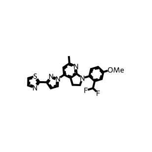 COc1ccc(N2CCc3c(-n4ccc(-c5nccs5)n4)cc(C)nc32)c(C(F)F)c1